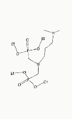 CCOP(=O)(CN(CCCN(C)C)CP(=O)(OCC)OCC)OCC